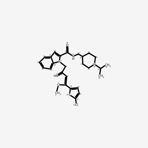 CO/C(=C\C(=N)Cn1c(C(=O)NCC2CCN(C(C)C)CC2)cc2ccccc21)c1ccc(Cl)s1